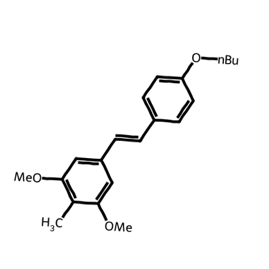 CCCCOc1ccc(/C=C/c2cc(OC)c(C)c(OC)c2)cc1